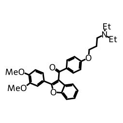 CCN(CC)CCCOc1ccc(C(=O)c2c(-c3ccc(OC)c(OC)c3)oc3ccccc23)cc1